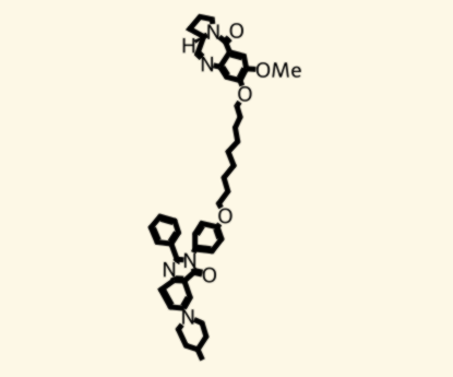 COc1cc2c(cc1OCCCCCCCCCOc1ccc(-n3c(-c4ccccc4)nc4ccc(N5CCC(C)CC5)cc4c3=O)cc1)N=C[C@@H]1CCCN1C2=O